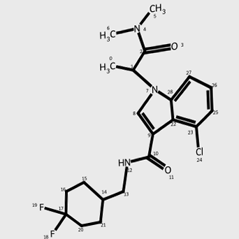 CC(C(=O)N(C)C)n1cc(C(=O)NCC2CCC(F)(F)CC2)c2c(Cl)cccc21